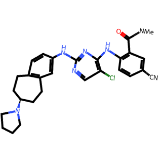 CNC(=O)c1cc(C#N)ccc1Nc1nc(Nc2ccc3c(c2)CC[C@@H](N2CCCC2)CC3)ncc1Cl